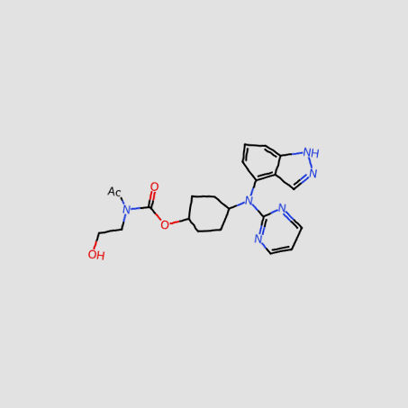 CC(=O)N(CCO)C(=O)OC1CCC(N(c2ncccn2)c2cccc3[nH]ncc23)CC1